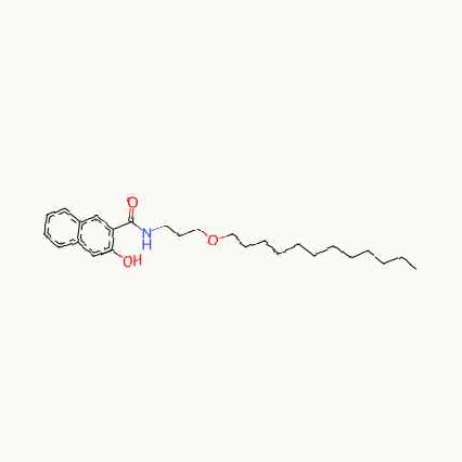 CCCCCCCCCCCCOCCCNC(=O)c1cc2ccccc2cc1O